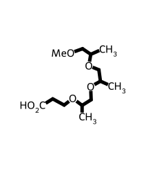 COCC(C)OCC(C)OCC(C)OCCC(=O)O